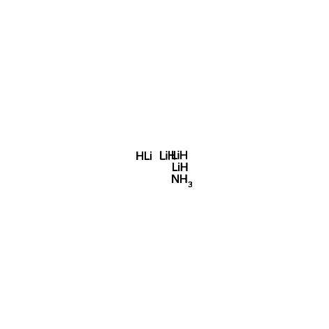 N.[LiH].[LiH].[LiH].[LiH]